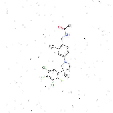 CCC(=O)NCc1ccc(N2CCC(c3cc(Cl)c(F)c(Cl)c3F)(C(F)(F)F)C2)cc1C(F)(F)F